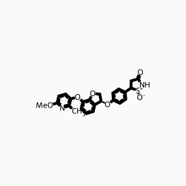 COc1ccc(Oc2cccc3c2OC[C@H]3Oc2ccc(C3CC(=O)N[S+]3[O-])cc2)c(C)n1